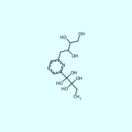 CCC(O)(O)C(O)(O)c1cncc(CC(O)C(O)CO)n1